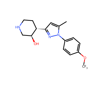 Cc1cc([C@H]2CCNC[C@@H]2O)nn1-c1ccc(OC(F)(F)F)cc1